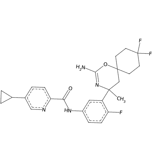 CC1(c2cc(NC(=O)c3ccc(C4CC4)cn3)ccc2F)CC2(CCC(F)(F)CC2)OC(N)=N1